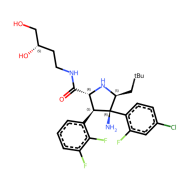 CC(C)(C)C[C@@H]1N[C@@H](C(=O)NCC[C@H](O)CO)[C@H](c2cccc(F)c2F)[C@@]1(N)c1ccc(Cl)cc1F